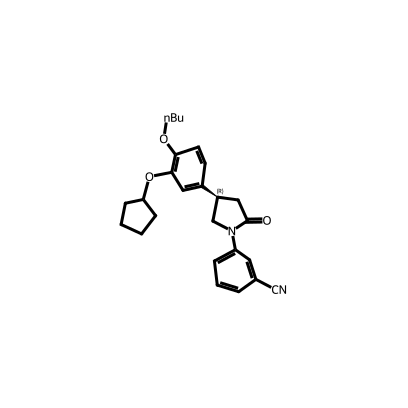 CCCCOc1ccc([C@H]2CC(=O)N(c3cccc(C#N)c3)C2)cc1OC1CCCC1